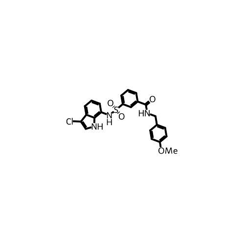 COc1ccc(CNC(=O)c2cccc(S(=O)(=O)Nc3cccc4c(Cl)c[nH]c34)c2)cc1